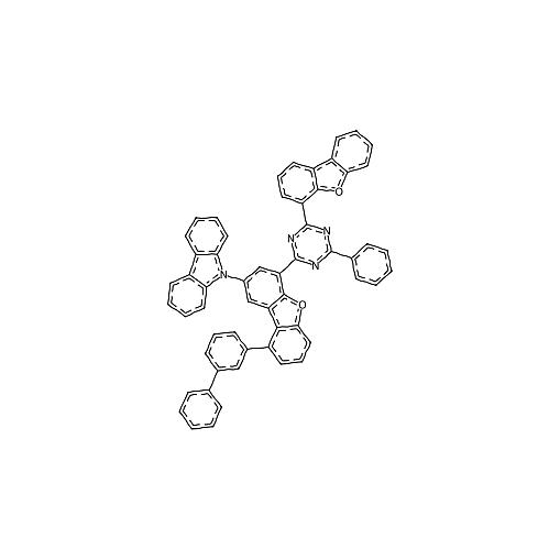 c1ccc(-c2cccc(-c3cccc4oc5c(-c6nc(-c7ccccc7)nc(-c7cccc8c7oc7ccccc78)n6)cc(-n6c7ccccc7c7ccccc76)cc5c34)c2)cc1